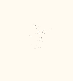 CC(=O)OCC1=C(C(=O)[O-])N2C(=O)[C@@H](NC(=O)C(NC(=O)NC(=O)c3ccco3)c3ccc(O)cc3)[C@H]2SC1.[Na+]